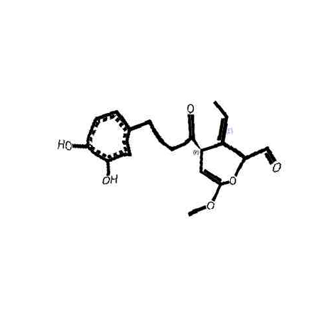 C/C=C1/C(C=O)OC(OC)=C[C@H]1C(=O)CCc1ccc(O)c(O)c1